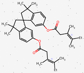 CC/C(C)=C(\C)CC(=O)Oc1ccc2c(c1)C1(CC2(C)C)CC(C)(C)c2ccc(OC(=O)C/C(C)=C(\C)CC)cc21